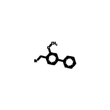 COc1cc(-c2ccccc2)ccc1CBr